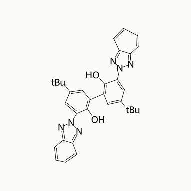 CC(C)(C)c1cc(-c2cc(C(C)(C)C)cc(-n3nc4ccccc4n3)c2O)c(O)c(-n2nc3ccccc3n2)c1